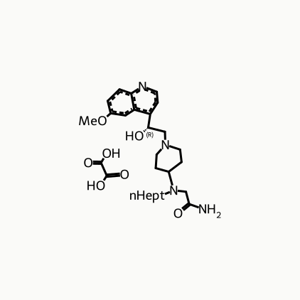 CCCCCCCN(CC(N)=O)C1CCN(C[C@H](O)c2ccnc3ccc(OC)cc23)CC1.O=C(O)C(=O)O